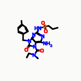 CCCS(=O)(=O)Nc1nc(N)c2c(n1)n(Cc1ccc(C)cc1)c(=O)n2C(=O)N(C)CC